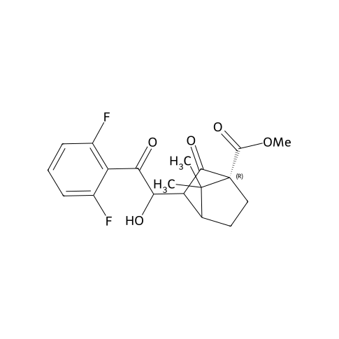 COC(=O)[C@@]12CCC(C(C(O)C(=O)c3c(F)cccc3F)C1=O)C2(C)C